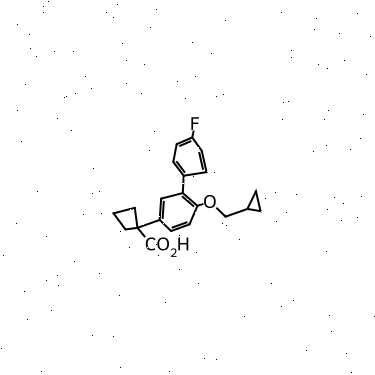 O=C(O)C1(c2ccc(OCC3CC3)c(-c3ccc(F)cc3)c2)CCC1